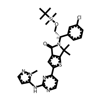 Cn1nccc1Nc1nccc(-c2cc3c(s2)C(C)(C)N([C@H](CO[Si](C)(C)C(C)(C)C)c2cccc(Cl)c2)C3=O)n1